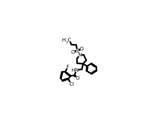 CCCS(=O)(=O)N1CCC(CNC(=O)c2c(F)cccc2Cl)(c2ccccc2)CC1